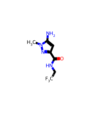 Cn1nc(C(=O)NCC(F)(F)F)cc1N